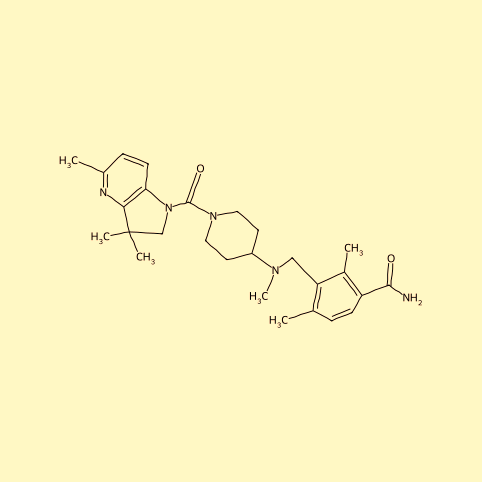 Cc1ccc2c(n1)C(C)(C)CN2C(=O)N1CCC(N(C)Cc2c(C)ccc(C(N)=O)c2C)CC1